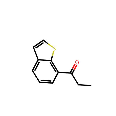 CCC(=O)c1cccc2ccsc12